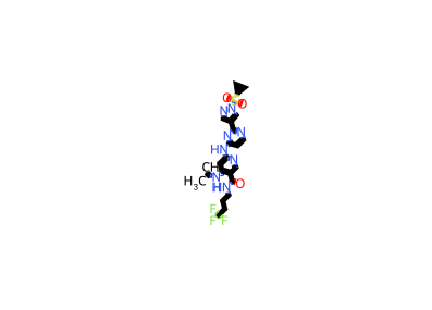 CC(C)Nc1cc(Nc2ccnc(-c3cnn(S(=O)(=O)C4CC4)c3)n2)ncc1C(=O)NCCCC(F)(F)F